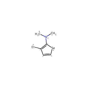 CCc1cc[se]c1N(C)C